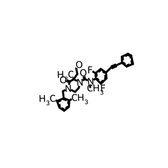 Cc1cccc(C)c1CN1CCN(C(=O)N(C)c2c(F)cc(C#Cc3ccccc3)cc2F)C(C)(CC=O)C1=O